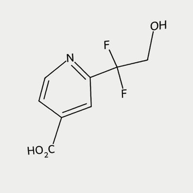 O=C(O)c1ccnc(C(F)(F)CO)c1